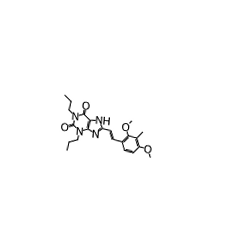 CCCn1c(=O)c2[nH]c(C=Cc3ccc(OC)c(C)c3OC)nc2n(CCC)c1=O